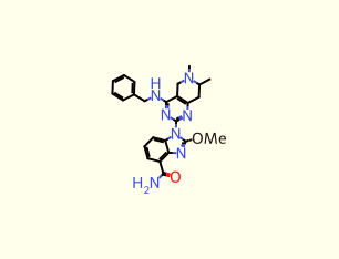 COc1nc2c(C(N)=O)cccc2n1-c1nc2c(c(NCc3ccccc3)n1)CN(C)C(C)C2